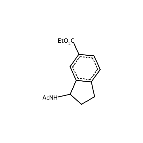 CCOC(=O)c1ccc2c(c1)C(NC(C)=O)CC2